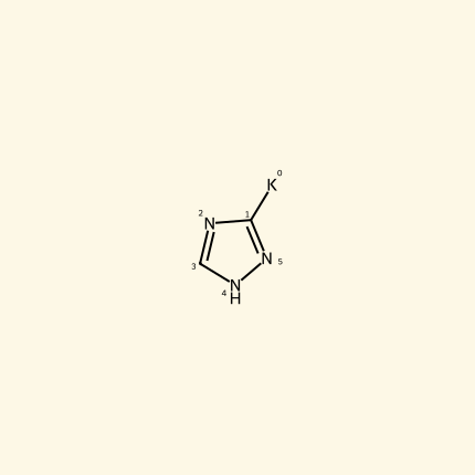 [K][c]1nc[nH]n1